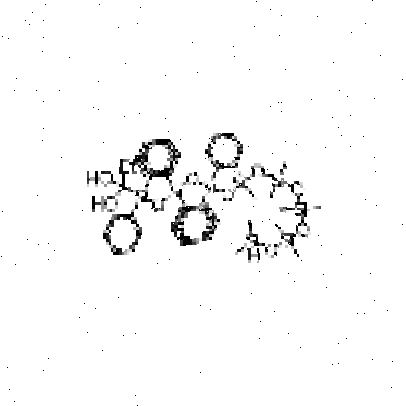 CCC(O)(O)[Si](O[Si](O[Si](O[Si](C)(C)O[Si](C)(C)O[Si](C)(C)O[Si](C)(C)O[SiH](C)C)(c1ccccc1)c1ccccc1)(c1ccccc1)c1ccccc1)(c1ccccc1)c1ccccc1